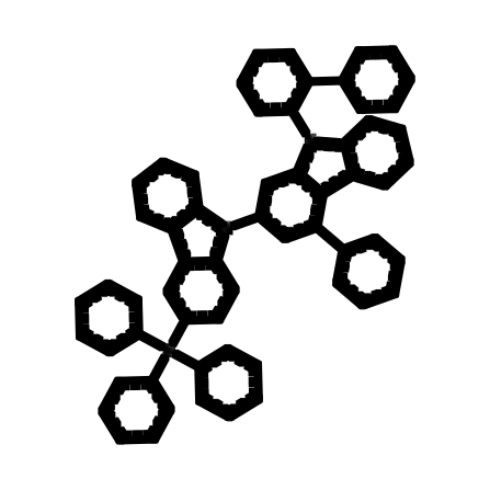 c1ccc(-c2ccccc2-n2c3ccccc3c3c(-c4ccccc4)cc(-n4c5ccccc5c5cc([Si](c6ccccc6)(c6ccccc6)c6ccccc6)ccc54)cc32)cc1